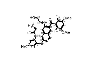 C=CC(=O)Nc1cn(C)nc1Nc1ncc2cc(C(=O)c3c(F)c(OC)cc(OC)c3F)c(NCCO)cc2n1